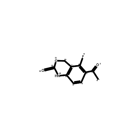 [CH2]C(=O)c1ccc2c(c1F)COC(=O)N2